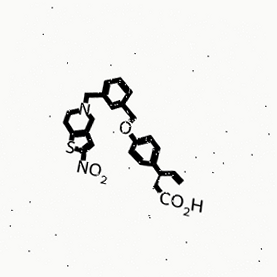 C=C[C@@H](CC(=O)O)c1ccc(OCc2cccc(CN3CCc4sc([N+](=O)[O-])cc4C3)c2)cc1